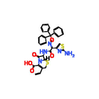 C=CC1=C(C(=O)O)N2C(=O)C(NC(=O)C(=NOC(c3ccccc3)(c3ccccc3)c3ccccc3)c3csc(N)n3)[C@@H]2SC1